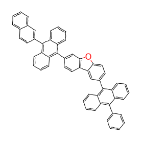 c1ccc(-c2c3ccccc3c(-c3ccc4oc5cc(-c6c7ccccc7c(-c7ccc8ccccc8c7)c7ccccc67)ccc5c4c3)c3ccccc23)cc1